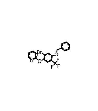 FC(F)(F)c1cc(Oc2ncccn2)c(Br)cc1OCc1ccccc1